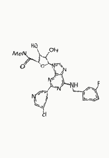 CNC(=O)[C@@H]1OC(n2cnc3c(NCc4cccc(F)c4)nc(-c4cncc(Cl)c4)nc32)C(O)C1O